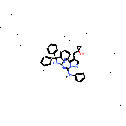 CN(c1ccccc1)c1nc(NC(c2ccccc2)(c2ccccc2)c2ccccc2)nc2c(CC3(O)CC3)cnn12